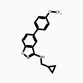 FC(F)(F)Oc1ccc(-c2ccc3onc(NCC4CC4)c3c2)cc1